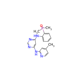 Cc1ccnc(Nc2cc(Nc3ccccc3P(C)(C)=O)ncn2)c1